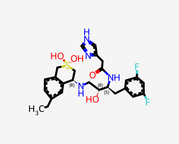 CCc1ccc2c(c1)[C@@H](NC[C@@H](O)[C@H](Cc1cc(F)cc(F)c1)NC(=O)Cc1c[nH]cn1)CS(O)(O)C2